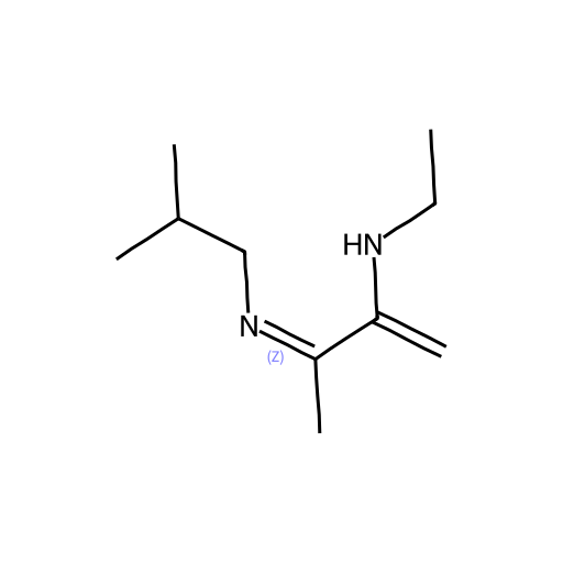 C=C(NCC)/C(C)=N\CC(C)C